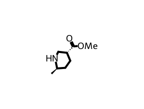 COC(=O)[C@@H]1CC[C@@H](C)NC1